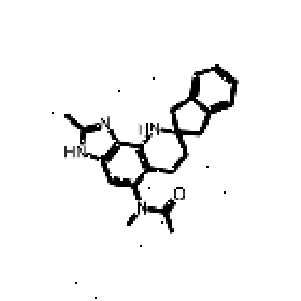 CC(=O)N(C)c1cc2[nH]c(C)nc2c2c1CCC1(Cc3ccccc3C1)N2